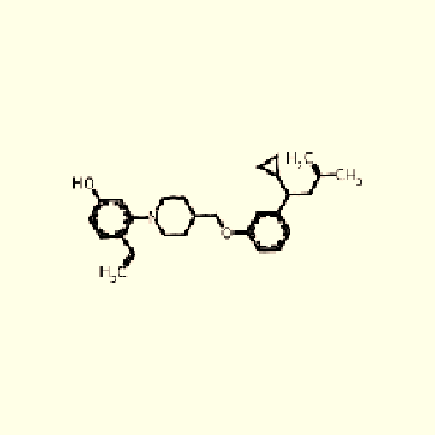 C=Cc1ccc(O)cc1N1CCC(COc2cccc(C(CC(=C)C)C3CC3)c2)CC1